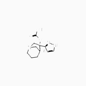 CC(=O)O[C@]1(c2cc[nH]n2)CN2CCC[C@H]1C2